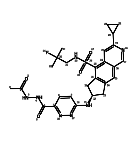 CC(=O)NNC(=O)c1ccc(N[C@@H]2Cc3cc4cnc(C5CC5)cc4c(S(=O)(=O)NCC(C)(C)F)c3C2)nn1